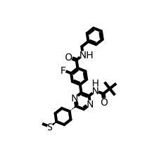 CS[C@H]1CC[C@H](c2cnc(NC(=O)C(C)(C)C)c(-c3ccc(C(=O)NCc4ccccc4)c(F)c3)n2)CC1